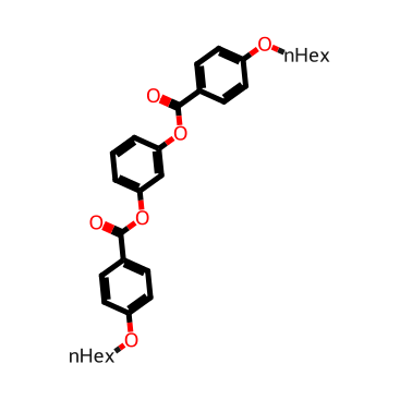 CCCCCCOc1ccc(C(=O)Oc2cccc(OC(=O)c3ccc(OCCCCCC)cc3)c2)cc1